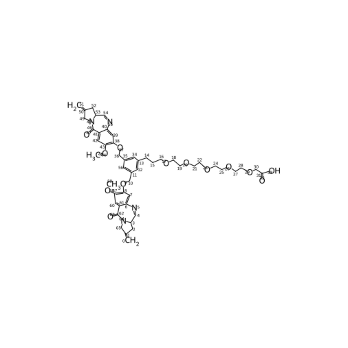 C=C1CC2C=Nc3cc(OCc4cc(CCCOCCOCCOCCOCCOCC(=O)O)cc(COc5cc6c(cc5OC)C(=O)N5CC(=C)CC5C=N6)c4)c(OC)cc3C(=O)N2C1